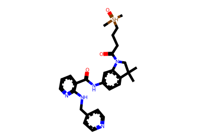 CC1(C)CN(C(=O)CCC[SH](C)(C)=O)c2cc(NC(=O)c3cccnc3NCc3ccncc3)ccc21